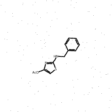 CC(=O)Oc1csc(NCc2ccccc2)n1